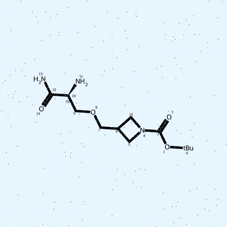 CC(C)(C)OC(=O)N1CC(COC[C@H](N)C(N)=O)C1